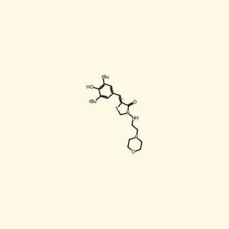 CC(C)(C)c1cc(/C=C2\SCN(NCCN3CCOCC3)C2=O)cc(C(C)(C)C)c1O